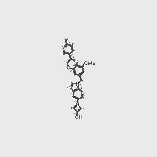 COc1cc(Cn2cnc3cc(N4CC(O)C4)cnc32)cc2c1OC(c1ccc(C)nc1)CO2